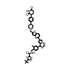 Cc1cc(-c2ncnn3cc(-c4ccc5sc(CN6CCC(c7ccc(C8CCC(=O)NC8=O)cc7)CC6)cc5n4)cc23)ccc1CNC(=O)c1noc(C(C)(C)C)n1